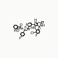 O=C(NC[C@H](CC(F)(F)c1cc(-c2[nH]c3c(c2Nc2cccc(F)c2Cl)C(=O)NC2(CCC2)C3)ccn1)c1ccc(F)cc1)c1ccccc1O